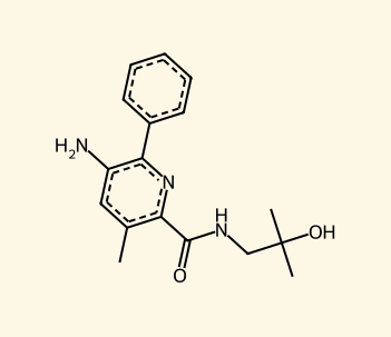 Cc1cc(N)c(-c2ccccc2)nc1C(=O)NCC(C)(C)O